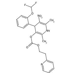 CC1=C(OC(=O)OCCc2ccccn2)C(c2ccccc2OC(F)F)C([N+](=O)[O-])=C(C)N1